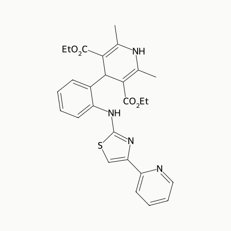 CCOC(=O)C1=C(C)NC(C)=C(C(=O)OCC)C1c1ccccc1Nc1nc(-c2ccccn2)cs1